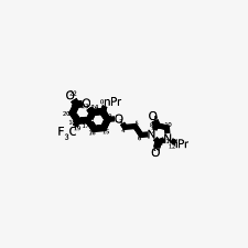 CCCc1c(OCCCN2C(=O)CN(C(C)C)C2=O)ccc2c(C(F)(F)F)cc(=O)oc12